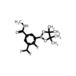 CNC(=O)c1cc(B2OC(C)(C)C(C)(C)O2)c(F)c(C(F)F)c1